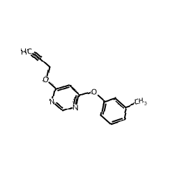 C#CCOc1cc(Oc2cccc(C)c2)ncn1